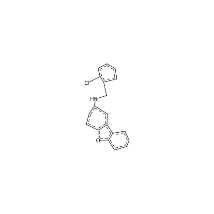 Clc1ccccc1CNc1ccc2oc3ccccc3c2c1